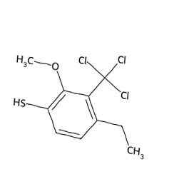 CCc1ccc(S)c(OC)c1C(Cl)(Cl)Cl